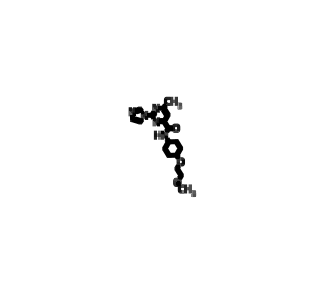 COCCOC1CCC(NC(=O)c2cc(C)nc(-n3ccnc3)n2)CC1